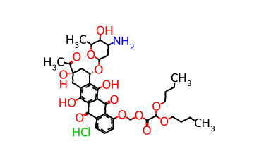 CCCCOC(OCCCC)C(=O)OCOc1cccc2c1C(=O)c1c(O)c3c(c(O)c1C2=O)C[C@@](O)(C(C)=O)C[C@@H]3OC1CC(N)C(O)C(C)O1.Cl